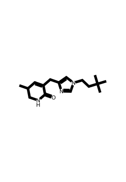 CC1C=C(Cc2cn(CCC(C)(C)C)cn2)C(=O)NC1